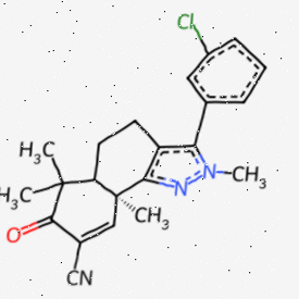 Cn1nc2c(c1-c1cccc(Cl)c1)CCC1C(C)(C)C(=O)C(C#N)=C[C@]21C